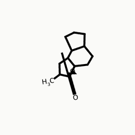 CC1CC2C3CCCC3CCC23OCC(=O)C13